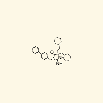 N=C1N[C@](CCC2CCCCC2)(CC2CCCCC2)C(=O)N1Cc1ccc(-c2ccccc2)cc1